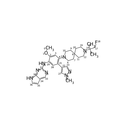 COc1cc(N2CCC3(CC2)CCN(C(C)(C)CF)CC3)c(-c2cnn(C)c2)cc1Nc1ncc2cc[nH]c2n1